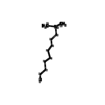 [Li][CH2]CCCCCCCN(C)C